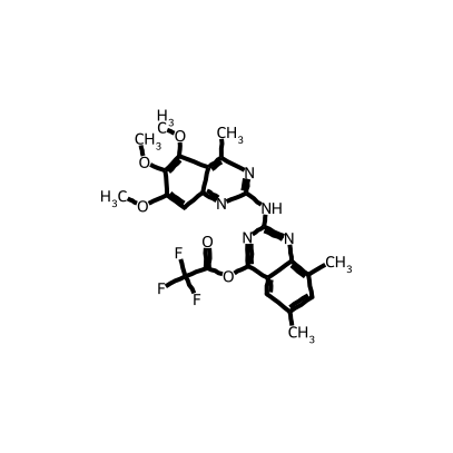 COc1cc2nc(Nc3nc(OC(=O)C(F)(F)F)c4cc(C)cc(C)c4n3)nc(C)c2c(OC)c1OC